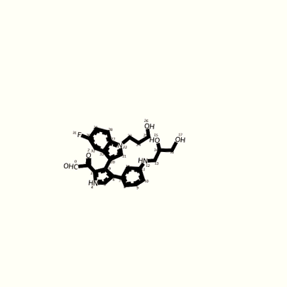 O=CC(=O)c1[nH]cc(-c2cccc(NCC(O)CO)c2)c1-c1cn(CCCO)c2ccc(F)cc12